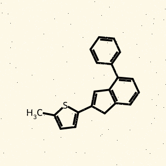 Cc1ccc(C2=Cc3c(cccc3-c3ccccc3)C2)s1